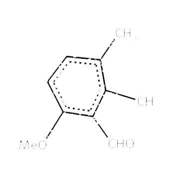 COc1ccc(C)c(C)c1C=O